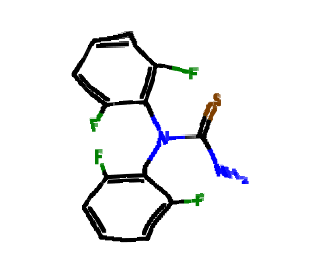 NC(=S)N(c1c(F)cccc1F)c1c(F)cccc1F